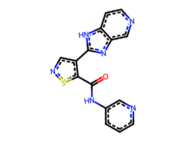 O=C(Nc1cccnc1)c1sncc1-c1nc2cnccc2[nH]1